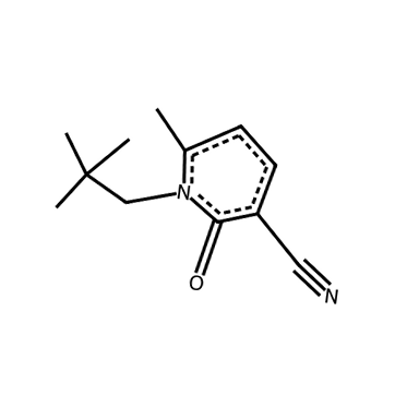 Cc1ccc(C#N)c(=O)n1CC(C)(C)C